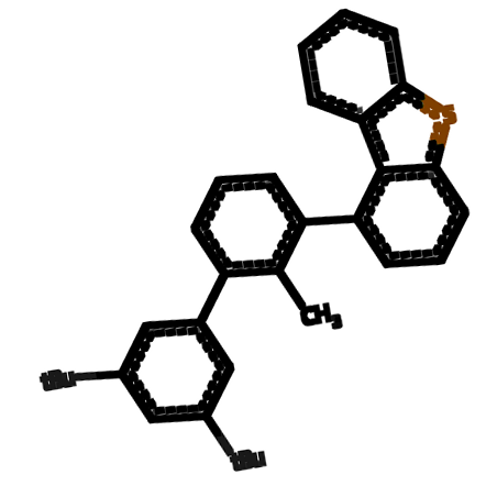 Cc1c(-c2cc(C(C)(C)C)cc(C(C)(C)C)c2)cccc1-c1cccc2sc3ccccc3c12